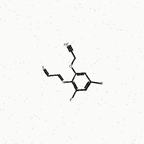 C#CCOc1cc(F)cc(F)c1N=CC=S